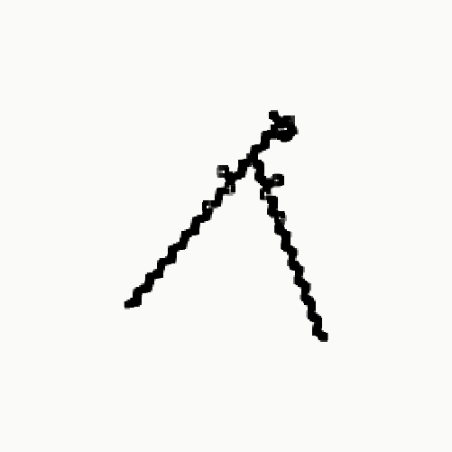 CCCCCCCCCCCCCCOCCOC(=O)CCN(CCCn1ccnc1C)CCC(=O)OCCOCCCCCCCCCCCCCC